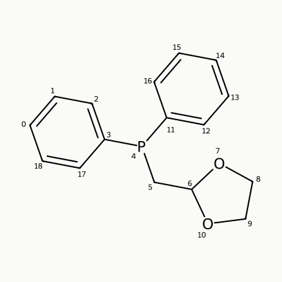 c1ccc(P(CC2OCCO2)c2ccccc2)cc1